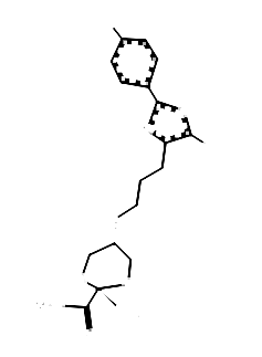 COC(=O)[C@]1(C)OC[C@H](CCCCc2nc(-c3ccc(C)cc3)oc2C)CO1